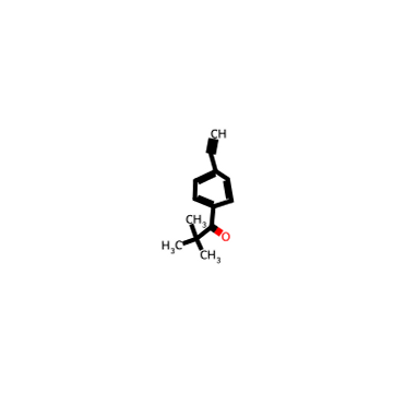 C#Cc1ccc(C(=O)C(C)(C)C)cc1